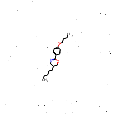 CCCCCC1CN=C(c2ccc(OCCCC)cc2)OC1